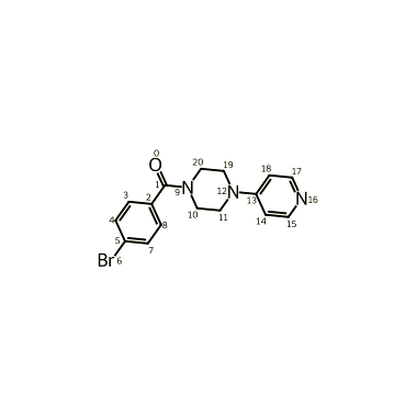 O=C(c1ccc(Br)cc1)N1CCN(c2ccncc2)CC1